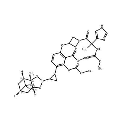 CC(C)(C)OC(=O)NC(C)(C(=O)N1CC(Oc2ccc(C3CC3B3O[C@@H]4C[C@@H]5C[C@@H](C5(C)C)[C@]4(C)O3)c(OC(=O)OC(C)(C)C)c2C(=O)OC(C)(C)C)C1)c1c[nH]cn1